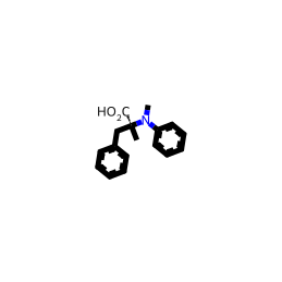 CN(c1ccccc1)[C@@](C)(Cc1ccccc1)C(=O)O